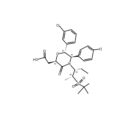 CC[C@H]([C@@H](C)S(=O)(=O)C(C)(C)C)N1C(=O)[C@@H](CC(=O)O)O[C@H](c2cccc(Cl)c2)[C@H]1c1ccc(Cl)cc1